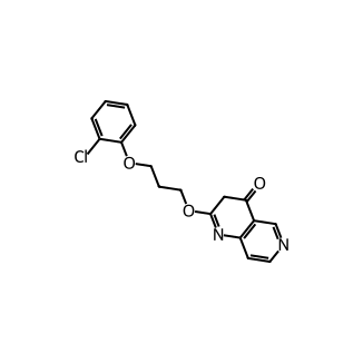 O=C1CC(OCCCOc2ccccc2Cl)=Nc2ccncc21